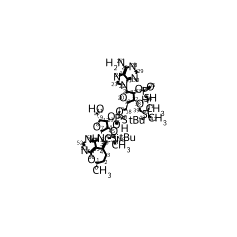 C[C@H]1CCc2cn([C@@H]3O[C@H](CO)[C@@H](OP(=O)(S)OC[C@H]4O[C@@H](n5cnc6c(N)ncnc65)[C@H](O[PH](=O)S)[C@@H]4OC[Si](C)(C)C(C)(C)C)[C@H]3O[Si](C)(C)C(C)(C)C)c3ncnc(c23)O1